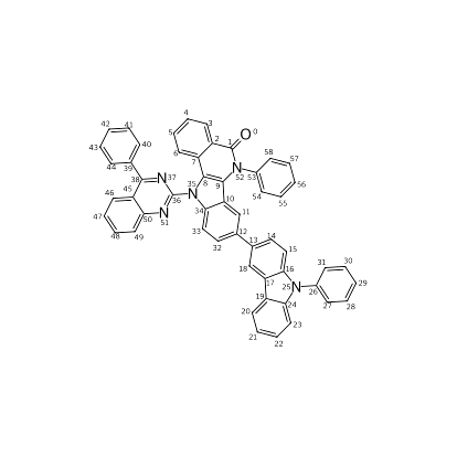 O=c1c2ccccc2c2c(c3cc(-c4ccc5c(c4)c4ccccc4n5-c4ccccc4)ccc3n2-c2nc(-c3ccccc3)c3ccccc3n2)n1-c1ccccc1